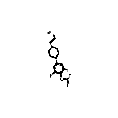 CCC/C=C/[C@H]1CC[C@H](c2cc(F)c(OC(F)F)c(F)c2)CC1